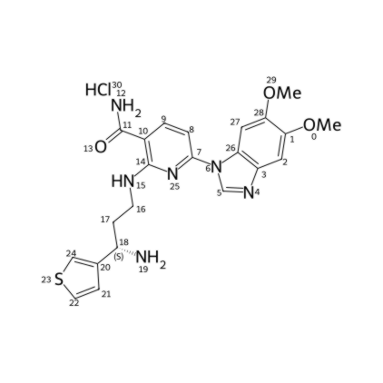 COc1cc2ncn(-c3ccc(C(N)=O)c(NCC[C@H](N)c4ccsc4)n3)c2cc1OC.Cl